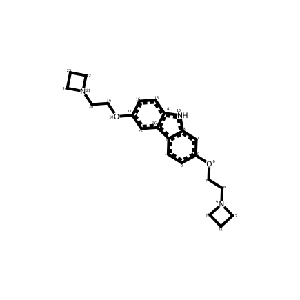 c1cc2c(cc1OCCN1CCC1)[nH]c1ccc(OCCN3CCC3)cc12